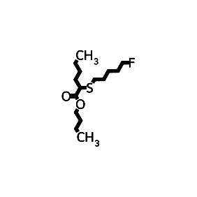 CCCCOC(=O)C(CCCC)SCCCCCF